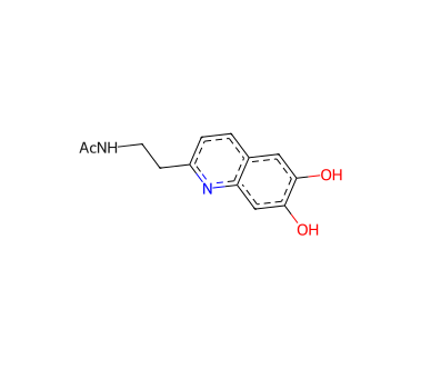 CC(=O)NCCc1ccc2cc(O)c(O)cc2n1